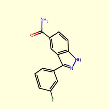 NC(=O)c1ccc2[nH]nc(-c3cccc(F)c3)c2c1